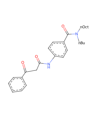 CCCCCCCCN(CCCC)C(=O)c1ccc(NC(=O)CC(=O)c2ccccc2)cc1